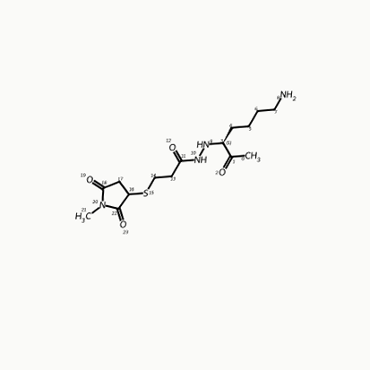 CC(=O)[C@H](CCCCN)NNC(=O)CCSC1CC(=O)N(C)C1=O